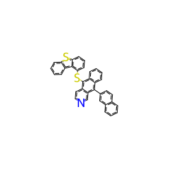 c1ccc2cc(-c3c4ccccc4c(Sc4cccc5sc6ccccc6c45)c4ccncc34)ccc2c1